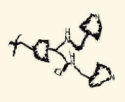 CC(C)(C)c1ccc(C(NCc2ccncc2)C(=O)NCc2ccncc2)cc1